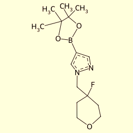 CC1(C)OB(c2cnn(CC3(F)CCOCC3)c2)OC1(C)C